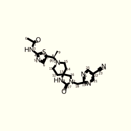 CC(=O)Nc1ncc([C@@H](C)N2CCC3(CC2)CN(Cc2ncc(C#N)cn2)C(=O)N3)s1